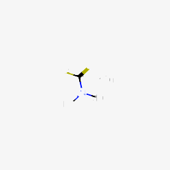 CCN(CC)C(=S)S.[Cu]